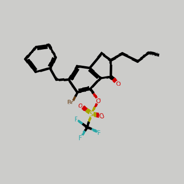 CCCCC1Cc2cc(Cc3ccccc3)c(Br)c(OS(=O)(=O)C(F)(F)F)c2C1=O